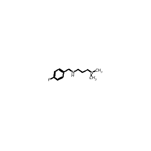 CN(C)CCCNCc1ccc(F)cc1